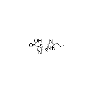 CCCc1ncn(Sc2ncc(C(=O)O)s2)n1